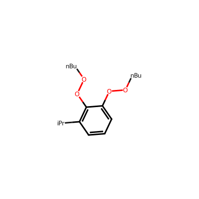 CCCCOOc1cccc(C(C)C)c1OOCCCC